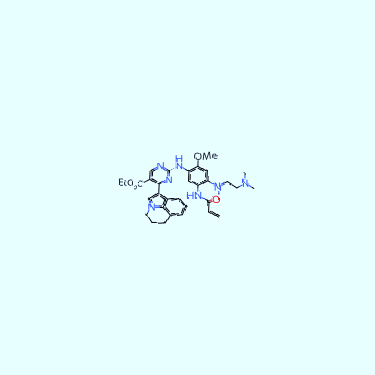 C=CC(=O)Nc1cc(Nc2ncc(C(=O)OCC)c(-c3cn4c5c(cccc35)CCC4)n2)c(OC)cc1N(C)CCN(C)C